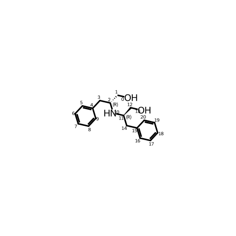 OC[C@@H](Cc1ccccc1)N[C@@H](CO)Cc1ccccc1